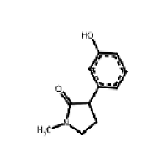 CN1CCC(c2cccc(O)c2)C1=O